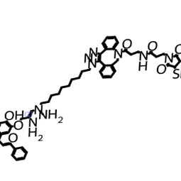 N/C(=C\N(N)CCCCCCCCCCn1nnc2c1-c1ccccc1CN(C(=O)CCNC(=O)CCN1C(=O)CC(S)C1=O)c1ccccc1-2)COc1c(O)ccc2c(=O)cc(-c3ccccc3)oc12